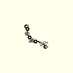 O=S(=O)(Nc1ccc(CCNCC(O)c2cccnc2)cc1)c1ccc(-c2noc(-c3ccc4ncccc4c3)n2)cc1